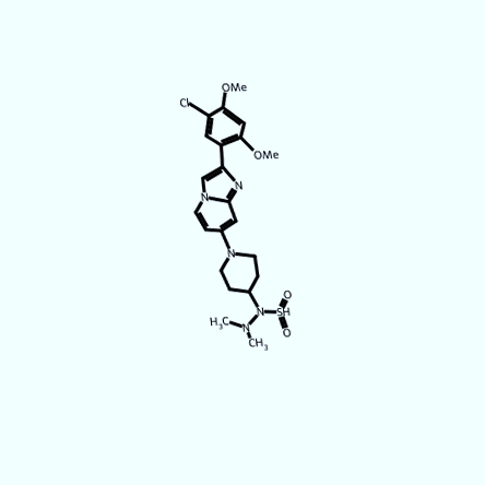 COc1cc(OC)c(-c2cn3ccc(N4CCC(N(N(C)C)[SH](=O)=O)CC4)cc3n2)cc1Cl